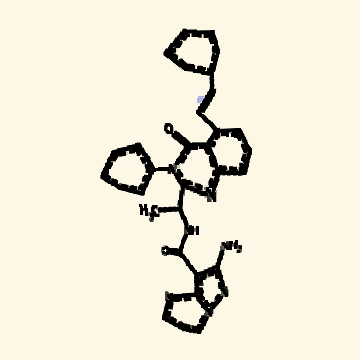 CC(NC(=O)c1c(N)nn2cccnc12)c1nc2cccc(/C=C/c3ccccc3)c2c(=O)n1-c1ccccc1